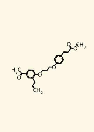 C=CCc1cc(C(C)=O)ccc1OCCCOc1ccc(C=CC(=O)OC)cc1